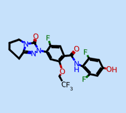 O=C(Nc1c(F)cc(O)cc1F)c1cc(F)c(-n2nc3n(c2=O)CCCC3)cc1OCC(F)(F)F